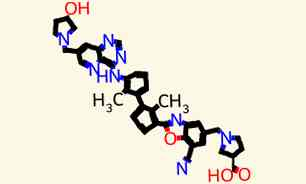 Cc1c(Nc2ncnc3cc(CN4CC[C@@H](O)C4)cnc23)cccc1-c1cccc(-c2nc3cc(CN4CC[C@@H](C(=O)O)C4)cc(C#N)c3o2)c1C